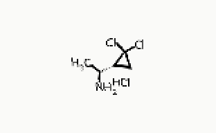 CC(N)[C@H]1CC1(Cl)Cl.Cl